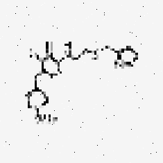 COc1ccc(Cc2cnc(NCCSCc3ccsn3)[nH]c2=O)cc1